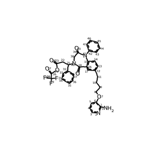 Nc1ncccc1OCCCCc1ccc2c(c1)C(=O)N(C(CC(=O)OC(=O)C(F)(F)F)c1ccccc1)CC(=O)N2c1ccccc1